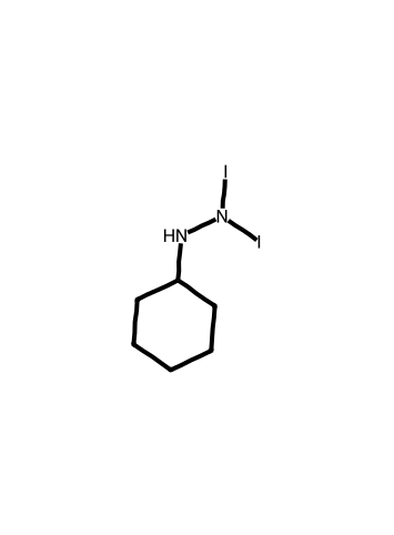 IN(I)NC1CCCCC1